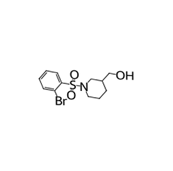 O=S(=O)(c1ccccc1Br)N1CCCC(CO)C1